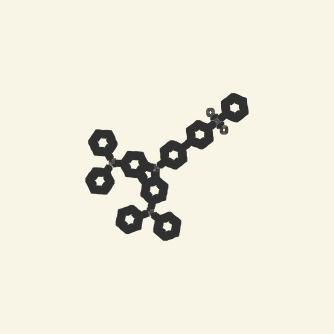 O=S(=O)(c1ccccc1)c1ccc(-c2ccc(-n3c4ccc(N(c5ccccc5)c5ccccc5)cc4c4cc(N(c5ccccc5)c5ccccc5)ccc43)cc2)cc1